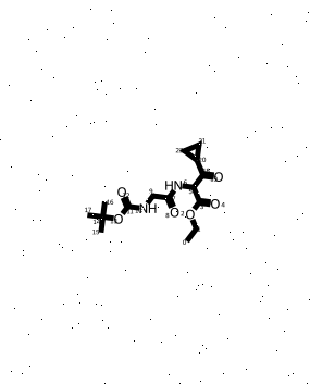 CCOC(=O)C(NC(=O)CNC(=O)OC(C)(C)C)C(=O)C1CC1